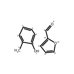 Cc1ccccc1O.O=Cc1ccco1